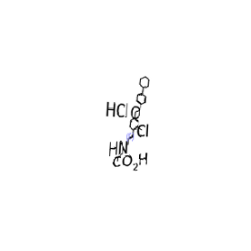 Cl.O=C(O)CCNC/C=C/c1ccc(OCc2ccc(C3CCCCC3)cc2)cc1Cl